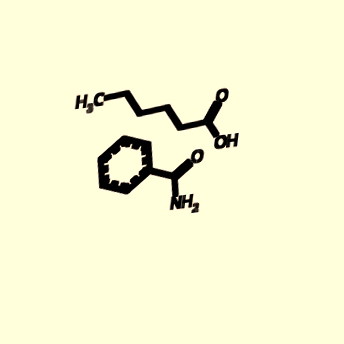 CCCCCC(=O)O.NC(=O)c1ccccc1